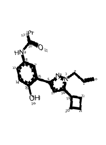 C=CCn1nc(-c2cc(NC(=O)C(C)C)ccc2O)cc1C1CCC1